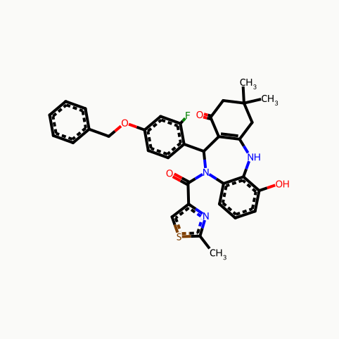 Cc1nc(C(=O)N2c3cccc(O)c3NC3=C(C(=O)CC(C)(C)C3)C2c2ccc(OCc3ccccc3)cc2F)cs1